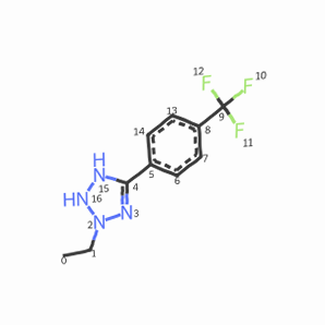 CCN1N=C(c2ccc(C(F)(F)F)cc2)NN1